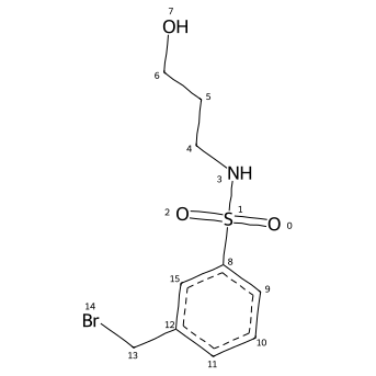 O=S(=O)(NCCCO)c1cccc(CBr)c1